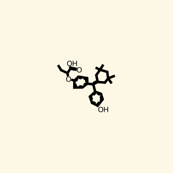 CCC(Oc1ccc(C(=C2CC(C)(C)CC(C)(C)C2)c2ccc(O)cc2)cc1)C(=O)O